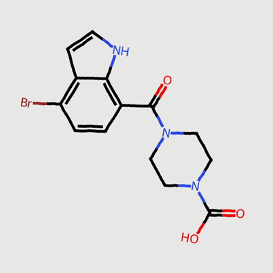 O=C(O)N1CCN(C(=O)c2ccc(Br)c3cc[nH]c23)CC1